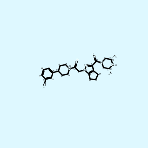 C[C@@H]1CN(C(=O)c2nn(CC(=O)N3CCC(c4cccc(Cl)c4)CC3)c3c2CCC3)C[C@H](C)O1